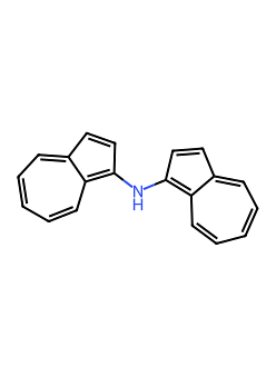 c1ccc2ccc(Nc3ccc4cccccc3-4)c-2cc1